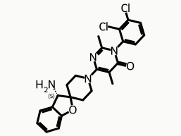 Cc1c(N2CCC3(CC2)Oc2ccccc2[C@@H]3N)nc(C)n(-c2cccc(Cl)c2Cl)c1=O